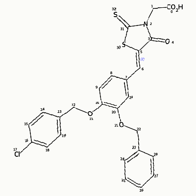 O=C(O)CN1C(=O)/C(=C/c2ccc(OCc3ccc(Cl)cc3)c(OCc3ccccc3)c2)SC1=S